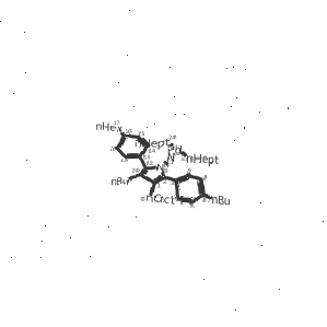 CCCCCCCCC1=C(c2ccc(CCCC)cc2)[N+](=[N-])C(c2ccc(CCCCCC)cc2)=C1CCCC.CCCCCC[CH2][Pd][CH2]CCCCCC